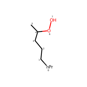 CCCCCCC(C)OO